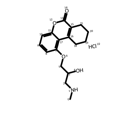 CNCC(O)COc1cccc2oc(=O)c3c(c12)CCCC3.Cl